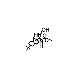 CCOC(=O)c1[nH]c2cc3c(nc2c1NCCO)CCC(C(C)(C)C)C3